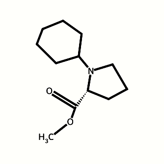 COC(=O)[C@H]1CCCN1C1CCCCC1